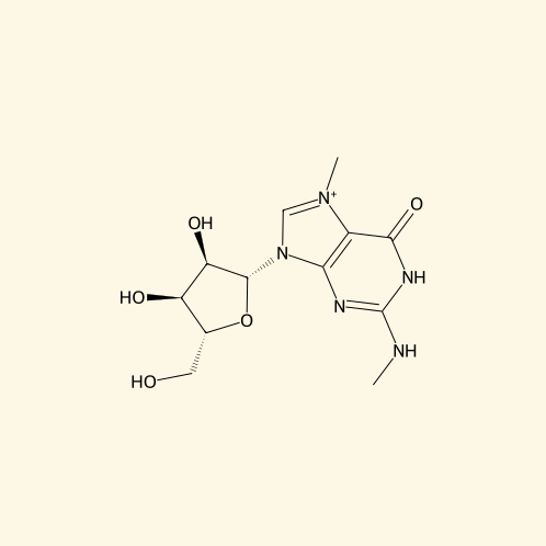 CNc1nc2c(c(=O)[nH]1)[n+](C)cn2[C@@H]1O[C@H](CO)[C@@H](O)[C@H]1O